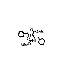 COC(=O)[C@H](OCc1ccccc1)[C@H](CC1CCCCC1)NC(=O)OC(C)(C)C